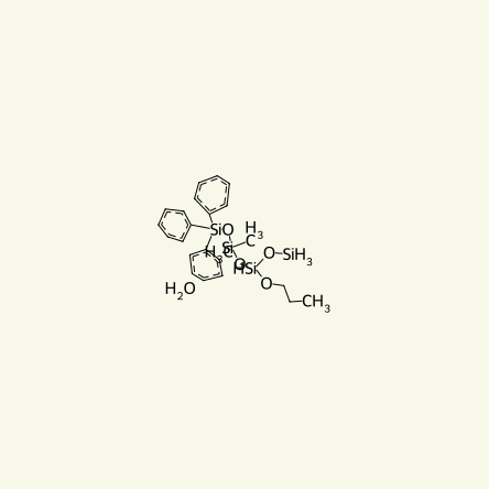 CCCO[SiH](O[SiH3])O[Si](C)(C)O[Si](c1ccccc1)(c1ccccc1)c1ccccc1.O